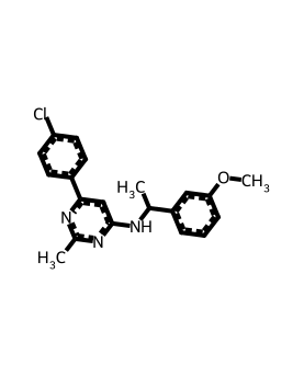 COc1cccc(C(C)Nc2cc(-c3ccc(Cl)cc3)nc(C)n2)c1